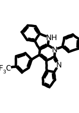 FC(F)(F)c1ccc(-c2c3c4ccccc4nc-3n(-c3ccccc3)c3[nH]c4ccccc4c23)cc1